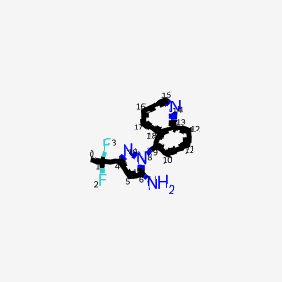 CC(F)(F)c1cc(N)n(-c2cccc3ncccc23)n1